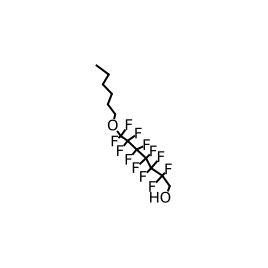 CCCCCCOC(F)(F)C(F)(F)C(F)(F)C(F)(F)C(F)(F)C(F)(F)CO